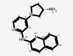 N[C@H]1CCN(c2ccnc(Nc3ccc4ccccc4n3)c2)C1